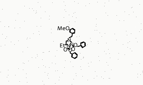 CCC1CN(CCc2cccc(OC)c2)CN(C(=O)OCc2ccccc2)N1C(=O)OCc1ccccc1